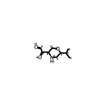 CC(C)C1CNC(C(=O)C=O)CO1